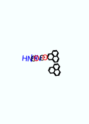 C1=Cc2cccc3cccc(c23)C1.C1=Cc2cccc3cccc(c23)C1.N=C=O.N=C=O